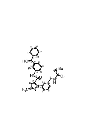 CCCCOC(=O)NCc1cccc(-n2nc(C(F)(F)F)cc2C(=O)Nc2cccc(C(O)c3ccccc3)c2F)c1